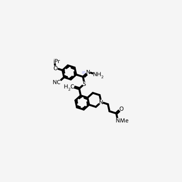 C=C(S/C(=N\N)c1ccc(OC(C)C)c(C#N)c1)c1cccc2c1CCN(CCC(=O)NC)C2